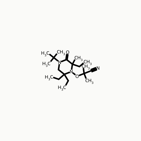 CCC1(CC)CN(C(C)(C)C)C(=O)C(C)(CC)N1OC(C)(C)C#N